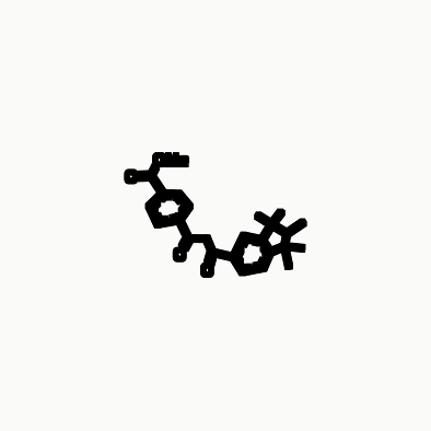 COC(=O)c1ccc(C(=O)CC(=O)c2ccc3c(c2)C(C)(C)C(C)C3(C)C)cc1